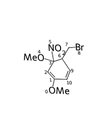 COC1=CC(OC)([N+](=O)[O-])C(CBr)C=C1